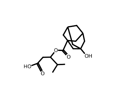 CC(C)C(CC(=O)O)OC(=O)C12CC3CC(CC(O)(C3)C1)C2